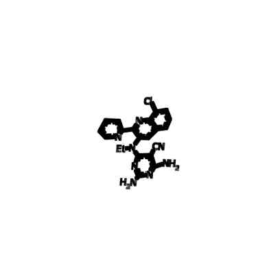 CCN(c1cc2cccc(Cl)c2nc1-c1ccccn1)c1nc(N)nc(N)c1C#N